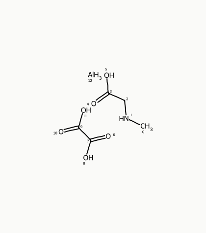 CNCC(=O)O.O=C(O)C(=O)O.[AlH3]